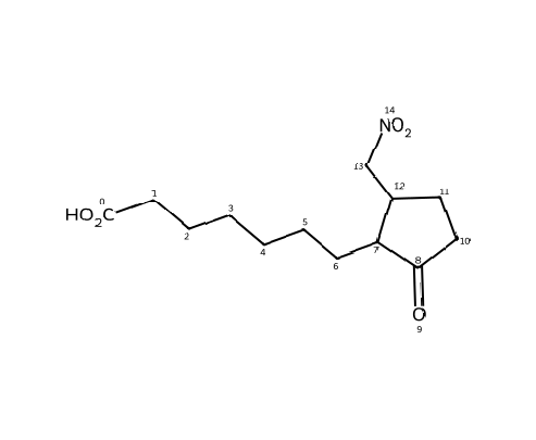 O=C(O)CCCCCCC1C(=O)CCC1C[N+](=O)[O-]